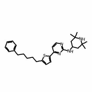 CC1(C)CC(Nc2nccc(-c3ccc(CCCCCc4ccccc4)s3)n2)CC(C)(C)N1